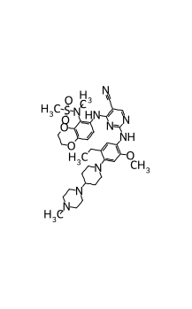 CCc1cc(Nc2ncc(C#N)c(Nc3ccc4c(c3N(C)S(C)(=O)=O)OCCO4)n2)c(OC)cc1N1CCC(N2CCN(C)CC2)CC1